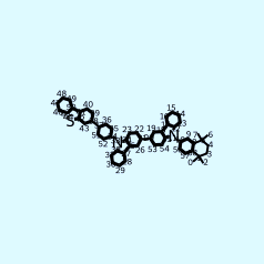 CC1(C)CCC(C)(C)c2cc(-n3c4ccccc4c4cc(-c5ccc6c(c5)c5ccccc5n6-c5ccc(-c6ccc7c(c6)sc6ccccc67)cc5)ccc43)ccc21